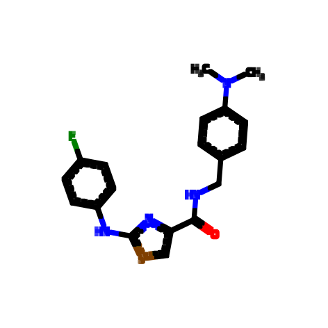 CN(C)c1ccc(CNC(=O)c2csc(Nc3ccc(F)cc3)n2)cc1